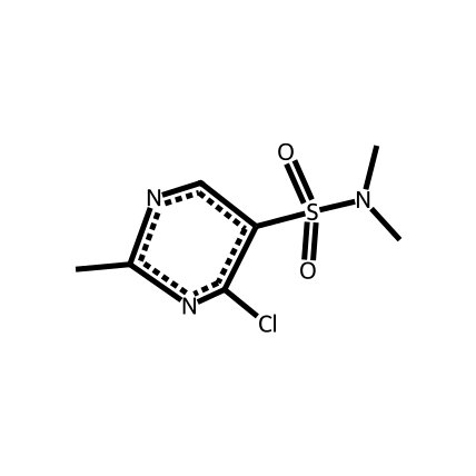 Cc1ncc(S(=O)(=O)N(C)C)c(Cl)n1